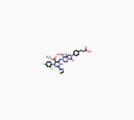 COC(=O)C1=C(CN2CCN3C(=O)N(c4ccc(CCC(=O)O)cc4)C[C@H]3[C@@H]2CO)NC(c2nccs2)=N[C@H]1c1ccc(F)cc1Cl